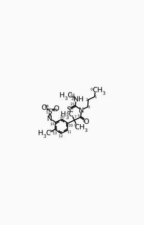 CCCCN(C(=O)C(C)(C)c1ccc(C)c(N=S(=O)=O)c1)C(=S)NC